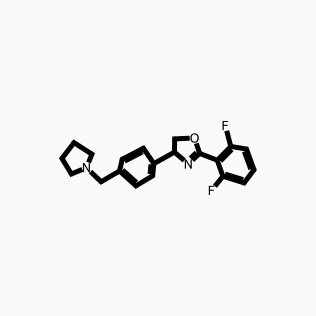 Fc1cccc(F)c1C1=NC(c2ccc(CN3CCCC3)cc2)CO1